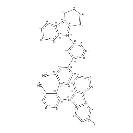 Cc1ccc2c(c1)c1ccccc1n2-c1cccc(C#N)c1-c1ccc(-c2cccc(-n3c4c(c5ccccc53)CCC=C4)c2)cc1C#N